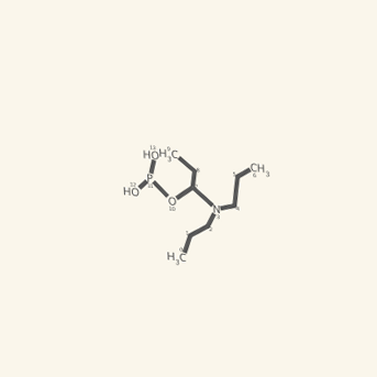 CCCN(CCC)C(CC)OP(O)O